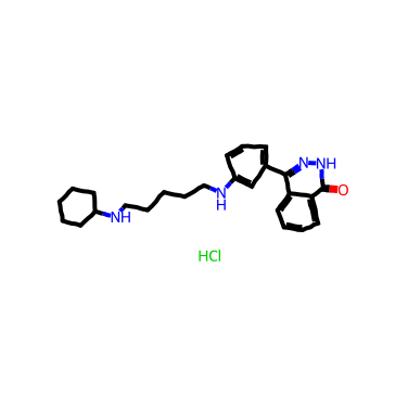 Cl.O=c1[nH]nc(-c2cccc(NCCCCCNC3CCCCC3)c2)c2ccccc12